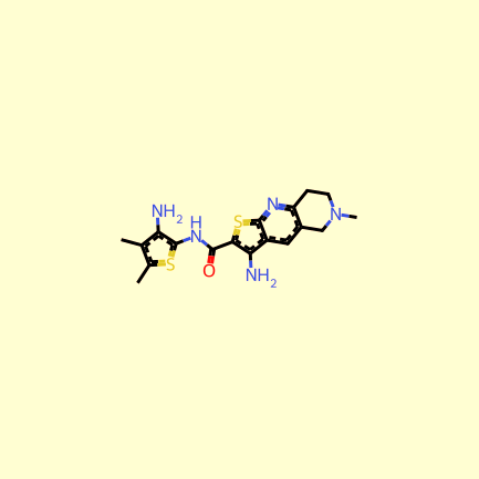 Cc1sc(NC(=O)c2sc3nc4c(cc3c2N)CN(C)CC4)c(N)c1C